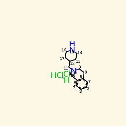 Cl.Cl.c1ccc2c(c1)CCN(CC1CCNCC1)C2